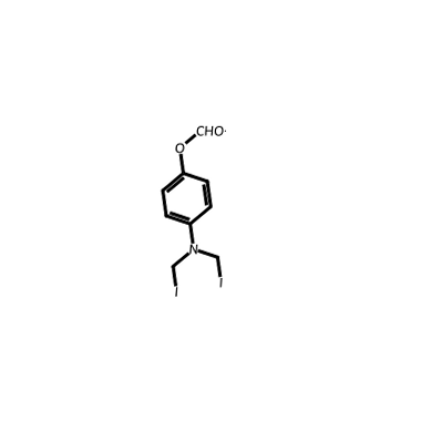 O=[C]Oc1ccc(N(CI)CI)cc1